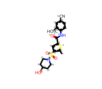 Cc1sc(C(=O)Nc2ccc(C#N)cc2C(=O)O)cc1S(=O)(=O)N1CCC(O)CC1